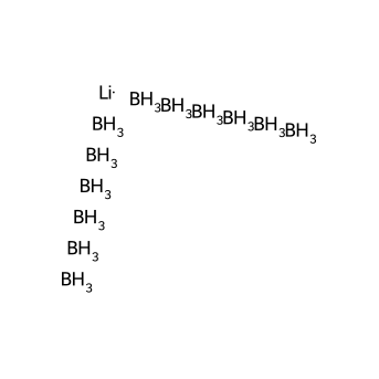 B.B.B.B.B.B.B.B.B.B.B.B.[Li]